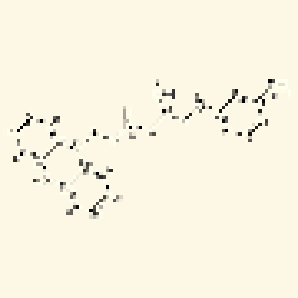 Cc1cccc(OCC(O)CNCCC2c3ccccc3Sc3ccccc32)c1